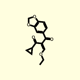 CCOC=C(C(=O)c1ccc2c(c1)OCO2)C(=O)C1CC1